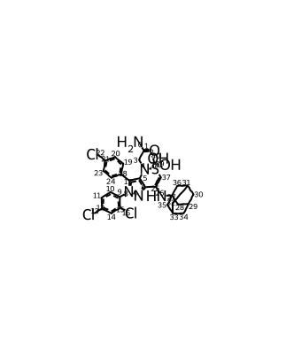 NC(=O)CN1c2c(nn(-c3ccc(Cl)cc3Cl)c2-c2ccc(Cl)cc2)C(NC23CC4CC(CC(C4)C2)C3)=CS1(O)O